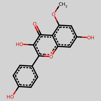 COc1cc(O)cc2oc(-c3ccc(O)cc3)c(O)c(=O)c12